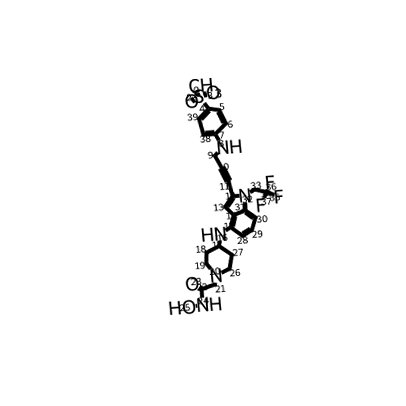 CS(=O)(=O)c1ccc(NCC#Cc2cc3c(NC4CCN(CC(=O)NO)CC4)cccc3n2CC(F)(F)F)cc1